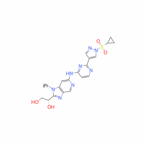 CC(C)n1c([C@H](O)CO)nc2cnc(Nc3ccnc(-c4cnn(S(=O)(=O)C5CC5)c4)n3)cc21